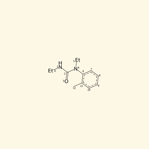 CCNC(=O)N(CC)c1ccccc1C